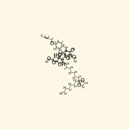 CC#CCOc1ccc(C[C@H](NC(=O)[C@@H](C=CCCCCCCC2(CCCCCCC)OCCO2)[C@@](O)(CCOC)C(=O)O)C(=O)NOC)cc1